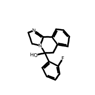 OC1(c2ccccc2F)Cc2ccccc2C2=NCCN21